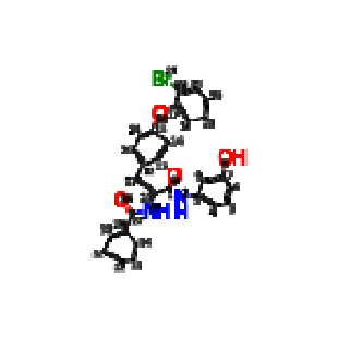 O=C(Nc1cccc(O)c1)/C(=C\c1ccc(Oc2ccccc2Br)cc1)NC(=O)c1ccccc1